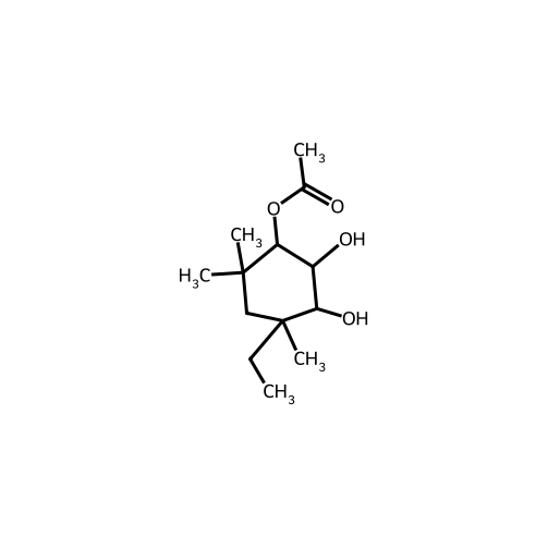 CCC1(C)CC(C)(C)C(OC(C)=O)C(O)C1O